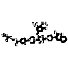 CC(C)(C)C(=O)OCOC(=O)c1ccc(N2CCN(C(=O)[C@@H](Cc3cc(Cl)c(N)c(C(F)(F)F)c3)OC(=O)N3CCC(c4cc5ccccc5[nH]c4=O)CC3)CC2)nc1